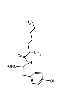 NCCCCC(N)C(=O)NC([C]=O)Cc1ccc(O)cc1